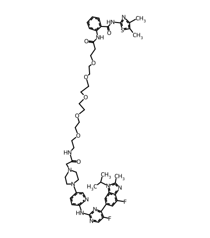 Cc1nc(NC(=O)c2ccccc2NC(=O)CCOCCOCCOCCOCCOCCNC(=O)CN2CCN(c3ccc(Nc4ncc(F)c(-c5cc(F)c6nc(C)n(C(C)C)c6c5)n4)nc3)CC2)sc1C